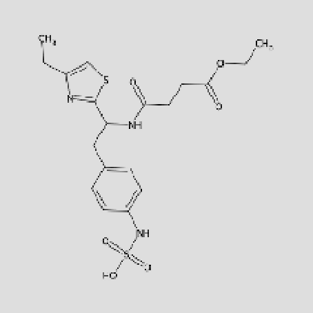 CCOC(=O)CCC(=O)NC(Cc1ccc(NS(=O)(=O)O)cc1)c1nc(CC)cs1